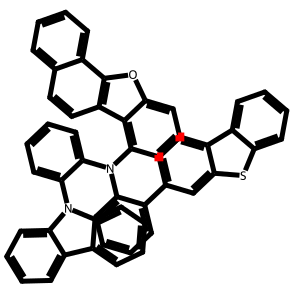 c1ccc(N(c2ccccc2-n2c3ccccc3c3ccccc32)c2cccc3oc4c5ccccc5ccc4c23)c(-c2ccc3c(c2)sc2ccccc23)c1